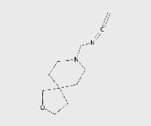 C=C=NCN1CCC2(CCOC2)CC1